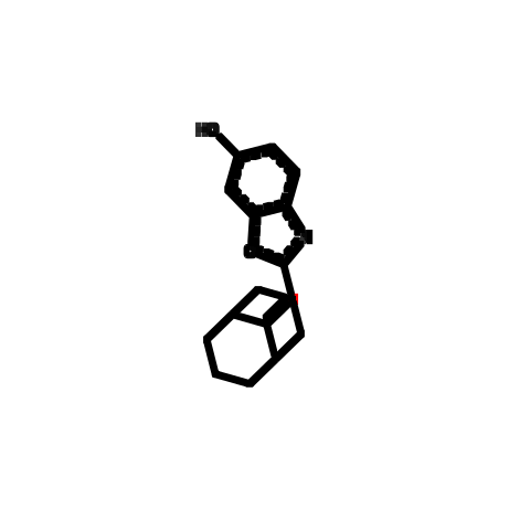 Oc1ccc2nc(C=C3C4CCCC3CCC4)oc2c1